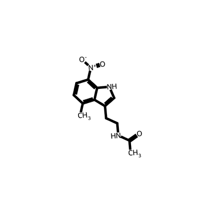 CC(=O)NCCc1c[nH]c2c([N+](=O)[O-])ccc(C)c12